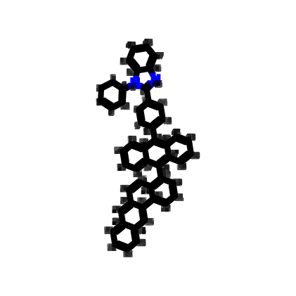 C1=CCCC(n2c(-c3ccc(-c4c5ccccc5c(-c5cccc6c5ccc5cc7ccccc7cc56)c5ccccc45)cc3)nc3ccccc32)=C1